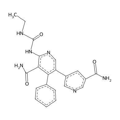 CCNC(=O)Nc1ncc(-c2cncc(C(N)=O)c2)c(-c2ccccc2)c1C(N)=O